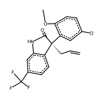 C=CC[C@@]1(c2cc(Cl)ccc2OC)C(=O)Nc2cc(C(F)(F)F)ccc21